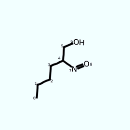 CCCCC(CO)N=O